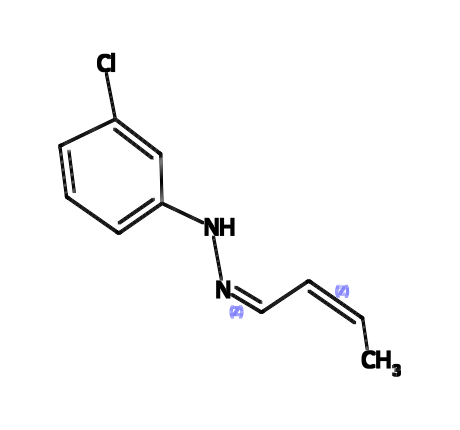 C/C=C\C=N/Nc1cccc(Cl)c1